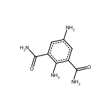 NC(=O)c1cc(N)cc(C(N)=O)c1N